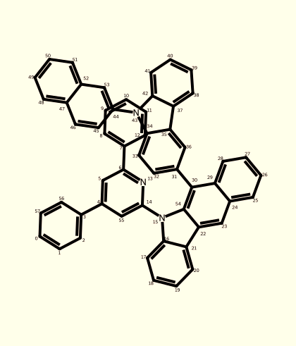 c1ccc(-c2cc(-c3ccccc3)nc(-n3c4ccccc4c4cc5ccccc5c(-c5ccc6c(c5)c5ccccc5n6-c5ccc6ccccc6c5)c43)c2)cc1